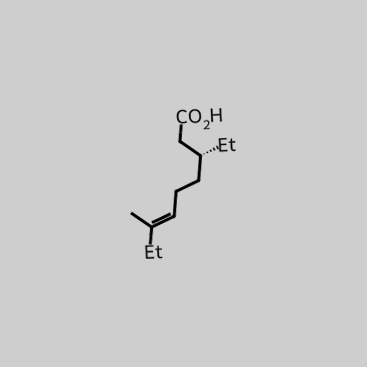 CC/C(C)=C/CC[C@@H](CC)CC(=O)O